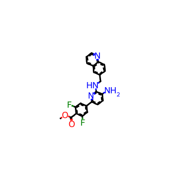 COC(=O)c1c(F)cc(-c2ccc(N)c(NCc3ccc4ncccc4c3)n2)cc1F